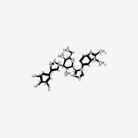 Cc1nc2ccc(-n3cnnc3[C@@H]3O[C@H](CO)[C@H](O)[C@H](n4cc(-c5cc(F)c(F)c(F)c5)nn4)[C@H]3O)cc2n1C